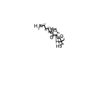 CC(C)(CS)C(=O)N[C@@H](CS)C(=O)NCCCCN